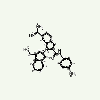 N=C(N)c1ccc2cc(C(=O)Nc3ccc(N)cc3)n(-c3cc(CO)c4ccccc4c3)c2c1